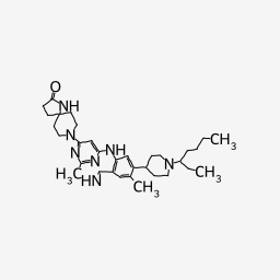 CCCCC(CC)N1CCC(c2cc(Nc3cc(N4CCC5(CCC(=O)N5)CC4)nc(C)n3)c(C=N)cc2C)CC1